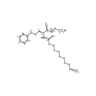 C=CCCCCCCCCC(=O)N[C@@H](CCOc1ccccc1)C(=O)NCC(=O)O